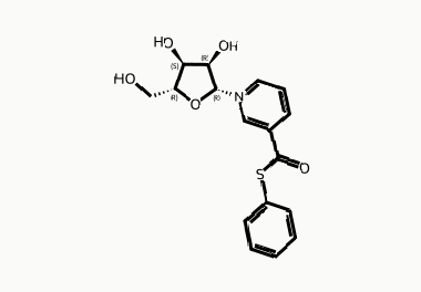 O=C(Sc1ccccc1)c1ccc[n+]([C@@H]2O[C@H](CO)[C@@H](O)[C@H]2O)c1